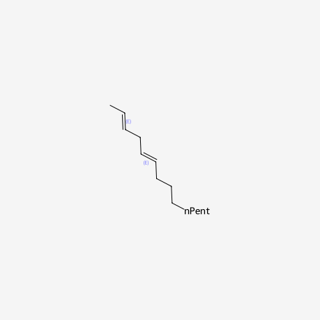 C/C=C/C/C=C/CCCCCCCC